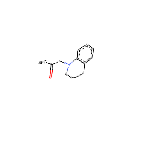 O=CC(=O)CN1CCCc2ccccc21